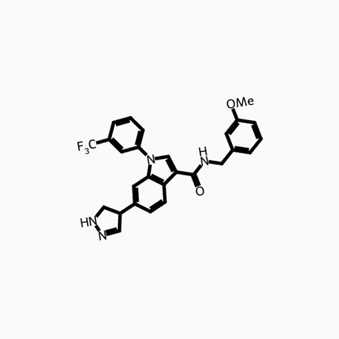 COc1cccc(CNC(=O)c2cn(-c3cccc(C(F)(F)F)c3)c3cc(C4C=NNC4)ccc23)c1